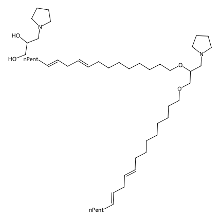 CCCCCC=CCC=CCCCCCCCCOCC(CN1CCCC1)OCCCCCCCCC=CCC=CCCCCC.OCC(O)CN1CCCC1